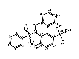 O=S(=O)(c1ccccc1)N([CH]c1ccncc1)c1cc(C(F)(F)F)ccc1Cl